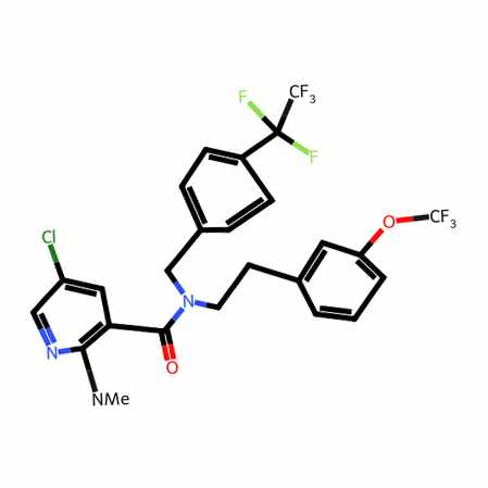 CNc1ncc(Cl)cc1C(=O)N(CCc1cccc(OC(F)(F)F)c1)Cc1ccc(C(F)(F)C(F)(F)F)cc1